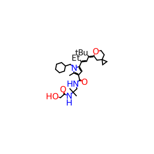 CC/C(=C\C(=C1/CC2(CCO1)CC2)C(C)(C)C)c1cc(C(=O)NCC(C)(C)NC(=O)CO)c(C)n1CC1CCCCC1